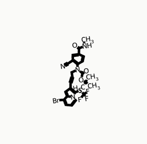 CNC(=O)c1ccc(N(CC#Cc2cc3c(Br)cccn3c2SC(F)(F)F)C(=O)OC(C)(C)C)c(C#N)c1